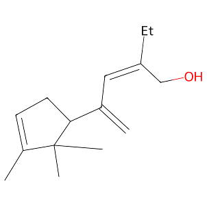 C=C(C=C(CC)CO)C1CC=C(C)C1(C)C